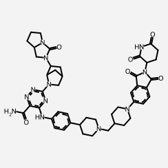 NC(=O)c1nnc(N2CC3CC(N4CC5CCCN5C4=O)C2C3)nc1Nc1ccc(C2CCN(CC3CCN(c4ccc5c(c4)C(=O)N(C4CCC(=O)NC4=O)C5=O)CC3)CC2)cc1